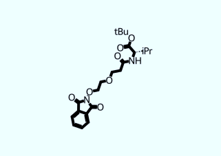 CC(C)[C@H](NC(=O)CCOCCON1C(=O)c2ccccc2C1=O)C(=O)OC(C)(C)C